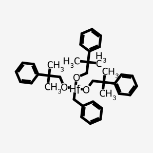 CC(C)(C[O][Hf]([CH2]c1ccccc1)([O]CC(C)(C)c1ccccc1)[O]CC(C)(C)c1ccccc1)c1ccccc1